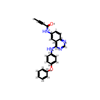 CC#CC(=O)Nc1ccc2ncnc(Nc3ccc(Oc4ccccc4)cc3)c2c1